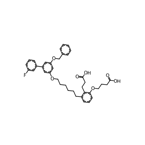 O=C(O)CCCOc1cccc(CCCCCCOc2cc(OCc3ccccc3)cc(-c3cccc(F)c3)c2)c1CCC(=O)O